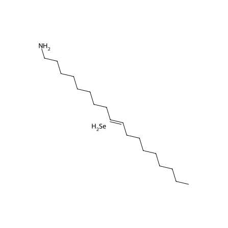 CCCCCCCCC=CCCCCCCCCN.[SeH2]